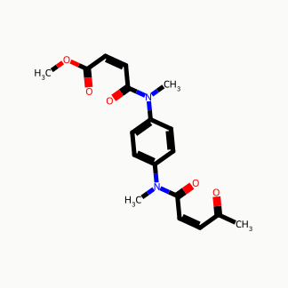 COC(=O)/C=C\C(=O)N(C)c1ccc(N(C)C(=O)/C=C\C(C)=O)cc1